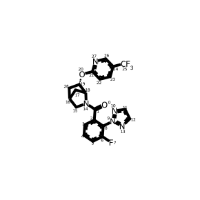 O=C(c1cccc(F)c1-n1nccn1)N1CC2CC1[C@@H](Oc1ccc(C(F)(F)F)cn1)C2